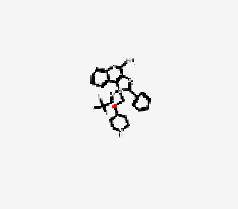 Nc1nc2ccccc2c2c1N=C(c1ccccc1)[N+]2(CCC1CCNCC1)OC(=O)C(F)(F)F